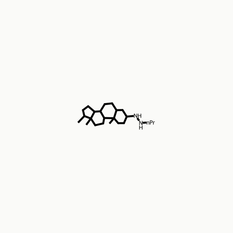 CCCNNC1CCC2(C)C(CCC3C4CCC(C)C4(C)CCC32)C1